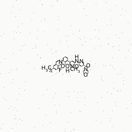 Cn1cc(-c2cccc(-n3ccc4cc(C5(C)CC5)cc(F)c4c3=O)c2CO)cc(Nc2ccc(C(=O)N3CCOCC3)cn2)c1=O